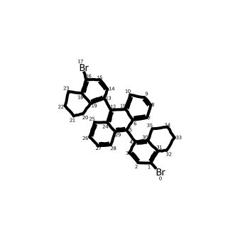 Brc1ccc(-c2c3ccccc3c(-c3ccc(Br)c4c3CCCC4)c3ccccc23)c2c1CCCC2